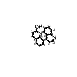 Oc1ccc2ccccc2n1.c1ccc2ncccc2c1